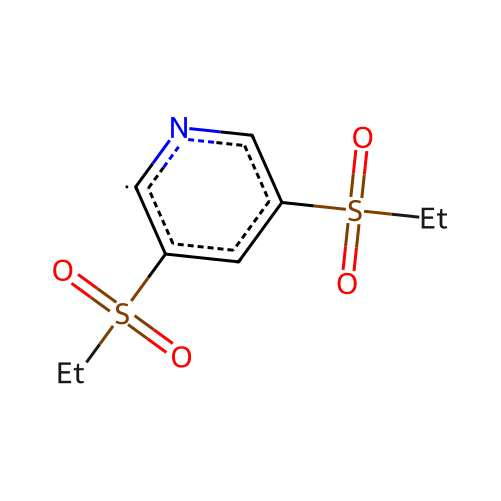 CCS(=O)(=O)c1[c]ncc(S(=O)(=O)CC)c1